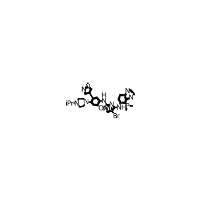 COc1cc(N2CCN(C(C)C)CC2)c(-c2cnn(C)c2)cc1Nc1ncc(Br)c(Nc2ccc3nccnc3c2P(C)C)n1